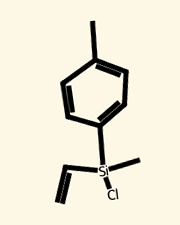 C=C[Si](C)(Cl)c1ccc(C)cc1